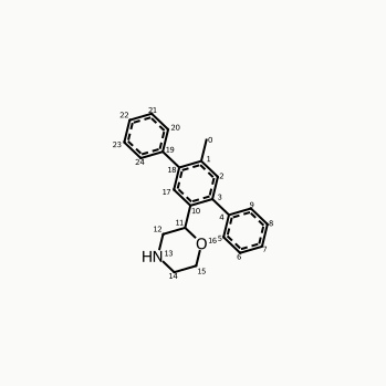 Cc1cc(-c2ccccc2)c(C2CNCCO2)cc1-c1ccccc1